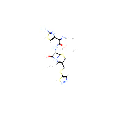 CO/N=C(\C(=O)N[C@@H]1C(=O)N2C(C(=O)[O-])=C(CSc3cnns3)CS[C@H]12)c1csc(N)n1.[Na+]